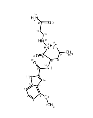 COc1cccc2[nH]c(C(=O)NC(CC(C)C)C(=O)NNCCC(N)=O)cc12